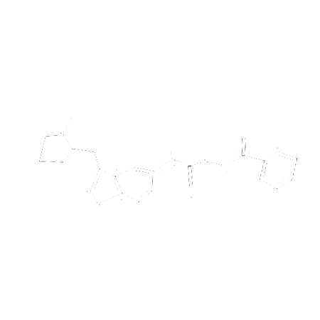 CN1CCCC1Cc1c[nH]c2ccc(NC(=O)NSC(=O)c3ccccc3)cc12